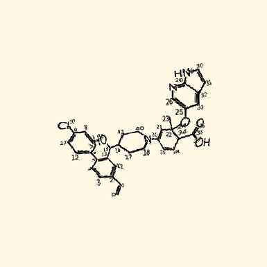 C=Cc1ccc(-c2ccc(Cl)cc2)c(C(O)C2CCN(C3=CC(C)(Oc4cnc5[nH]ccc5c4)C(C(=O)O)C=C3)CC2)c1